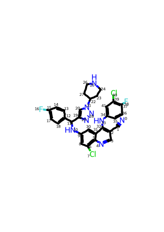 N#Cc1cnc2c(Cl)cc(NC(c3ccc(F)cc3)c3cn(C4CCNCC4)nn3)cc2c1Nc1ccc(F)c(Cl)c1